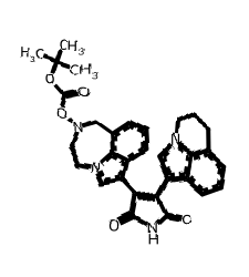 CC(C)(C)OC(=O)ON1CCn2cc(C3=C(c4cn5c6c(cccc46)CCC5)C(=O)NC3=O)c3cccc(c32)C1